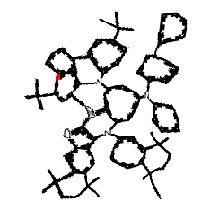 CC(C)(C)c1ccc2c(c1)B1c3oc4cc5c(cc4c3N(c3ccc4c(c3)C(C)(C)CCC4(C)C)c3cc(N(c4ccccc4)c4ccc(-c6ccccc6)cc4)cc(c31)N2c1ccc(C(C)(C)C)cc1-c1ccccc1)C(C)(C)CCC5(C)C